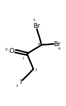 O=C(CI)C(Br)Br